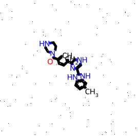 C=C(/C=C\C(=C/C)C(=O)N1CCCNCC1)C1=NC(C2Nc3ccc(C)cc3N2)=CNC1